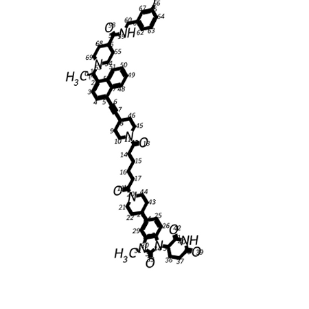 C[C@H](c1ccc(C#CC2CCN(C(=O)CCCCC(=O)N3CCC(c4ccc5c(c4)n(C)c(=O)n5C4CCC(=O)NC4=O)CC3)CC2)c2ccccc12)N1CCC(C(=O)NCc2cccc(F)c2)CC1